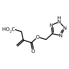 C=C(CC(=O)O)C(=O)OCc1nn[nH]n1